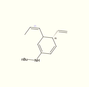 C=C[C@@H]1C=CC(NCCCC)=CC1/C=C\C